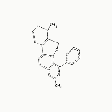 Cc1cc(-c2ccccc2)c2c3c(ccc2c1)C1=C(CC3)C(C)CC=C1